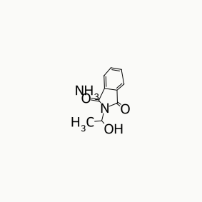 CC(O)N1C(=O)c2ccccc2C1=O.N